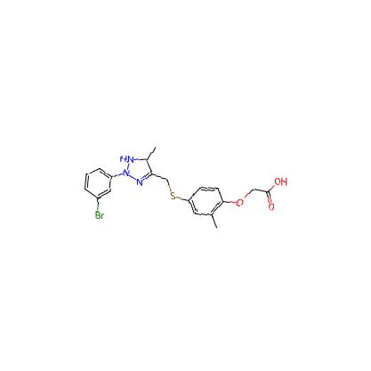 Cc1cc(SCC2=NN(c3cccc(Br)c3)NC2C)ccc1OCC(=O)O